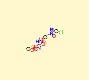 COc1ccc(Cl)cc1C(=O)NCCc1ccc(S(=O)(=O)NC(=O)c2ccc(OC(=O)Oc3ccccc3)nc2)cc1